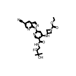 CCOC(=O)N1CC(Nc2cc(-n3ncc4cc(C#N)cnc43)ncc2C(=O)NC[C@@H](F)C(C)(C)O)C1